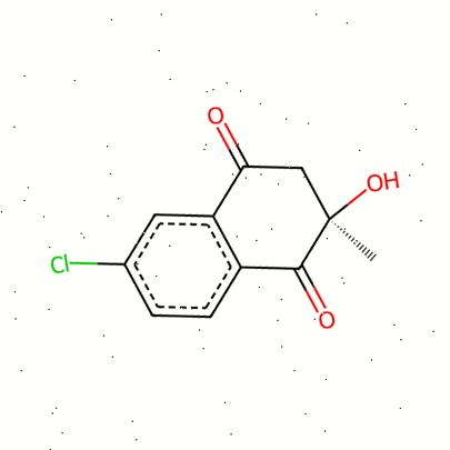 C[C@@]1(O)CC(=O)c2cc(Cl)ccc2C1=O